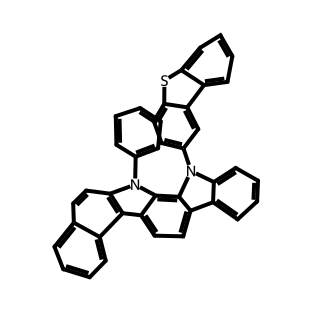 c1ccc(-n2c3ccc4ccccc4c3c3ccc4c5ccccc5n(-c5ccc6sc7ccccc7c6c5)c4c32)cc1